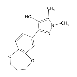 Cc1c(O)c(-c2ccc3c(c2)OCCCO3)nn1C